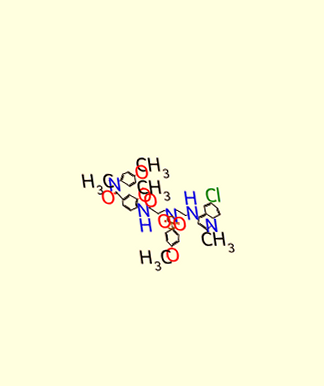 COc1ccc(N(C)C(=O)c2ccc(NC(=O)CCN(CCNc3cc(C)nc4ccc(Cl)cc34)S(=O)(=O)c3ccc(OC)cc3)c(OC)c2)cc1